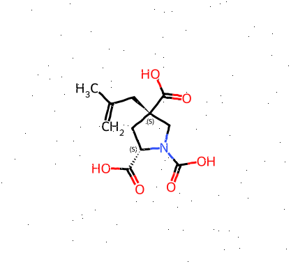 C=C(C)C[C@]1(C(=O)O)C[C@@H](C(=O)O)N(C(=O)O)C1